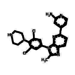 Cc1nc2ccc(-c3ccnc(N)c3)nc2n1-c1cc(Cl)c(N2CCNCC2)c(Cl)c1